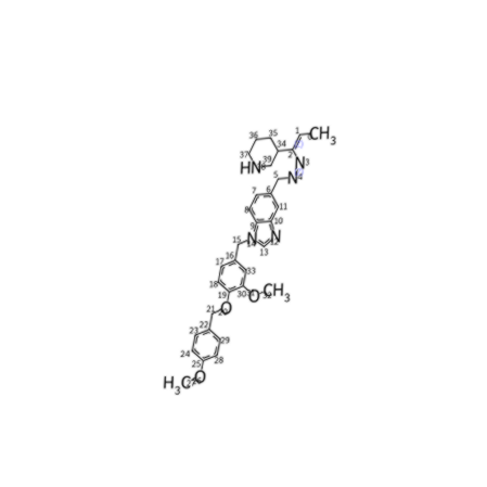 C/C=C(\N=N/Cc1ccc2c(c1)ncn2Cc1ccc(OCc2ccc(OC)cc2)c(OC)c1)C1CCCNC1